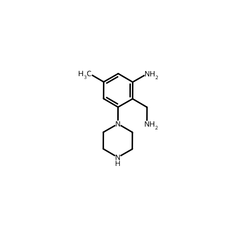 Cc1cc(N)c(CN)c(N2CCNCC2)c1